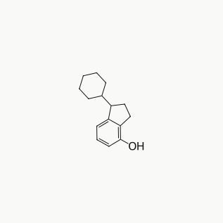 Oc1cccc2c1CCC2C1CCCCC1